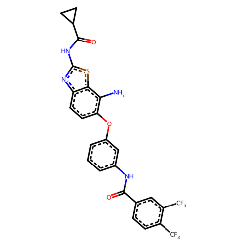 Nc1c(Oc2cccc(NC(=O)c3ccc(C(F)(F)F)c(C(F)(F)F)c3)c2)ccc2nc(NC(=O)C3CC3)sc12